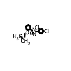 CN(C)CCOc1ccccc1-c1nc(-c2ccc(Cl)cc2Cl)no1